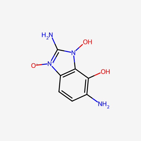 Nc1ccc2c(c1O)n(O)c(N)[n+]2[O-]